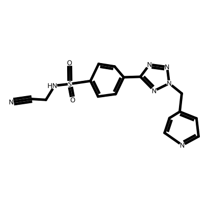 N#CCNS(=O)(=O)c1ccc(-c2nnn(Cc3ccncc3)n2)cc1